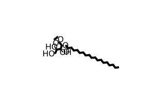 CCCCCCCCCCCCCCCCCC(=O)O[C@@H](C1OCCO1)[C@@H](O)[C@H](O)CO